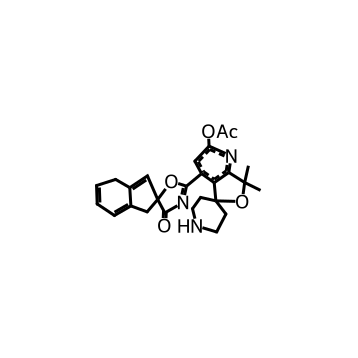 CC(=O)Oc1cc(C2=NC(=O)C3(C=C4CC=CC=C4C3)O2)c2c(n1)C(C)(C)OC21CCNCC1